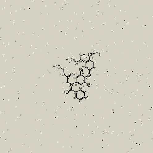 CCOC(=O)CN(C(=O)c1ccccc1)c1cc(Br)c(Oc2ccc(OC)c(C(C)CC)c2)c(Br)c1